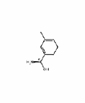 CC1=CCCC([C@H](N)O)=C1